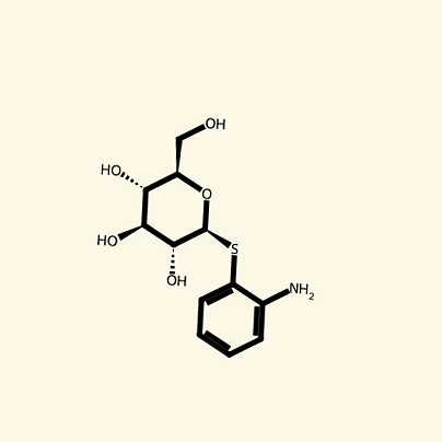 Nc1ccccc1S[C@@H]1O[C@H](CO)[C@@H](O)[C@H](O)[C@H]1O